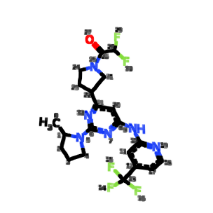 CC1CCCN1c1nc(Nc2cc(C(F)(F)F)ccn2)cc(C2CCN(C(=O)C(F)F)C2)n1